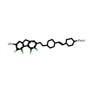 CCCCCC1CCC(/C=C/C2CCC(CCc3cc4c(c(F)c3F)-c3c(cc(CCC)c(F)c3F)C4)CC2)CC1